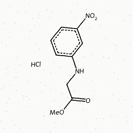 COC(=O)CNc1cccc([N+](=O)[O-])c1.Cl